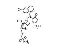 NS(=O)(=O)CCC/C(Br)=C/[C@H](O)[C@@H]1CC[C@H]1CN1CC2(CCCc3cc(Cl)ccc32)COc2ccc(C(=O)O)cc21